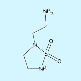 NCCN1CCNS1(=O)=O